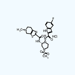 CN1CCc2nc(C(=O)N[C@H]3CN(S(C)(=O)=O)CCN3NC(=O)c3cc4cc(F)ccc4[nH]3)sc2C1.Cl